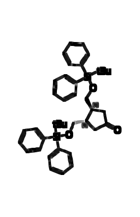 CC(C)(C)[Si](OC[C@H]1CC(=O)C[C@@H]1CO[Si](c1ccccc1)(c1ccccc1)C(C)(C)C)(c1ccccc1)c1ccccc1